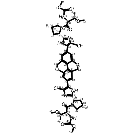 COC(=O)N[C@H](C(=O)N1C[C@@H](C)C[C@H]1c1nc(Cl)c(-c2cc3c4c(c2)OCc2cc(-c5[nH]c([C@@H]6C[C@H](C)CN6C(=O)[C@@H](NC(=O)OC)[C@@H](C)OC)nc5Cl)cc(c2-4)OC3)[nH]1)[C@@H](C)OC